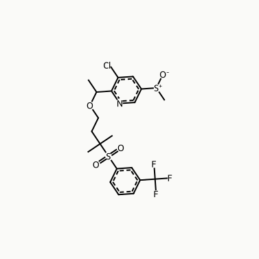 CC(OCCC(C)(C)S(=O)(=O)c1cccc(C(F)(F)F)c1)c1ncc([S+](C)[O-])cc1Cl